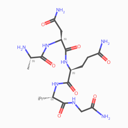 CC(C)[C@H](NC(=O)[C@H](CCC(N)=O)NC(=O)[C@H](CC(N)=O)NC(=O)[C@H](C)N)C(=O)NCC(N)=O